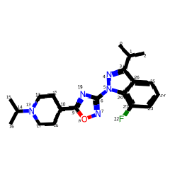 CC(C)c1nn(-c2noc(C3CCN(C(C)C)CC3)n2)c2c(F)cccc12